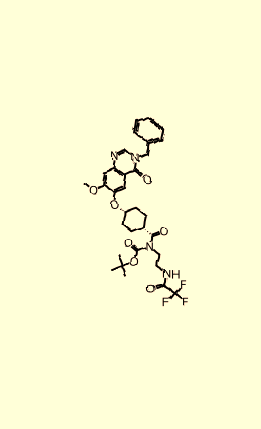 COc1cc2ncn(Cc3ccccc3)c(=O)c2cc1O[C@H]1CC[C@@H](C(=O)N(CCNC(=O)C(F)(F)F)C(=O)OC(C)(C)C)CC1